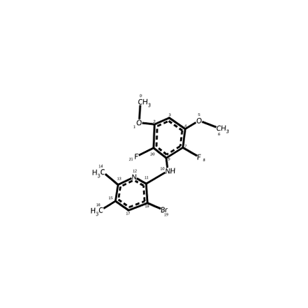 COc1cc(OC)c(F)c(Nc2nc(C)c(C)cc2Br)c1F